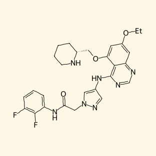 CCOc1cc(OC[C@H]2CCCCN2)c2c(Nc3cnn(CC(=O)Nc4cccc(F)c4F)c3)ncnc2c1